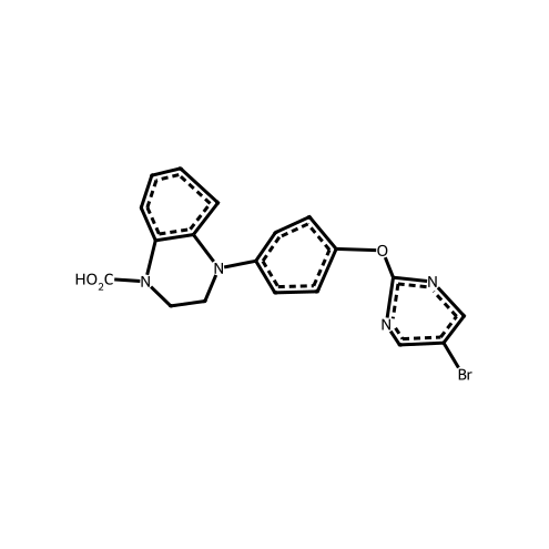 O=C(O)N1CCN(c2ccc(Oc3ncc(Br)cn3)cc2)c2ccccc21